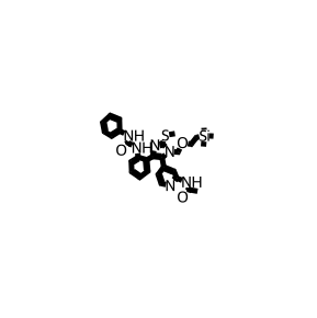 CSc1nc(-c2ccccc2NC(=O)Nc2ccccc2)c(-c2ccnc(NC(C)=O)c2)n1COCC[Si](C)(C)C